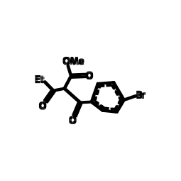 CCC(=O)C(C(=O)OC)C(=O)c1ccc(Br)cc1